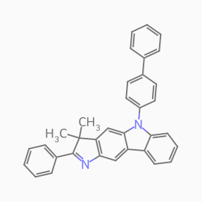 CC1(C)C(c2ccccc2)=Nc2cc3c4ccccc4n(-c4ccc(-c5ccccc5)cc4)c3cc21